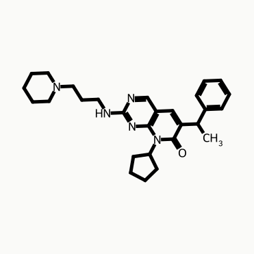 CC(c1ccccc1)c1cc2cnc(NCCCN3CCCCC3)nc2n(C2CCCC2)c1=O